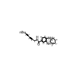 CCCCC#CC#CCNC(=O)c1ccc(NC2CCCCC2)c(N)c1